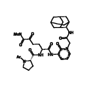 CNC(=O)C(=O)CCC(NC(=O)[C@@H]1CCCN1C(C)=O)C(=O)Nc1cccn(CC(=O)NC2C3CC4CC(C3)CC2C4)c1=O